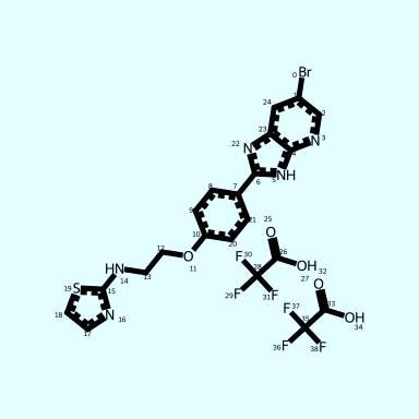 Brc1cnc2[nH]c(-c3ccc(OCCNc4nccs4)cc3)nc2c1.O=C(O)C(F)(F)F.O=C(O)C(F)(F)F